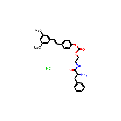 COc1cc(C=Cc2ccc(OC(=O)OCCNC(=O)C(N)Cc3ccccc3)cc2)cc(OC)c1.Cl